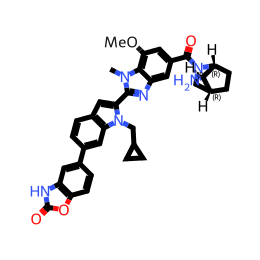 COc1cc(C(=O)N2C[C@H]3CC[C@@H]2[C@@H]3N)cc2nc(-c3cc4ccc(-c5ccc6oc(=O)[nH]c6c5)cc4n3CC3CC3)n(C)c12